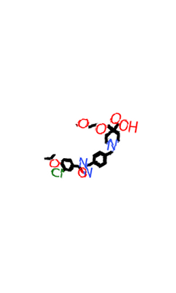 COCCOCC1(C(=O)O)CCN(Cc2ccc(-c3noc(-c4ccc(OC(C)C)c(Cl)c4)n3)cc2)CC1